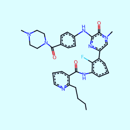 CCCCc1ncccc1C(=O)Nc1cccc(-c2cn(C)c(=O)c(Nc3ccc(C(=O)N4CCN(C)CC4)cc3)n2)c1F